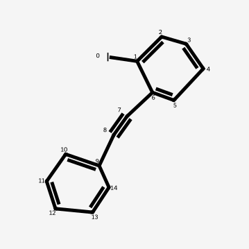 Ic1ccccc1C#Cc1ccccc1